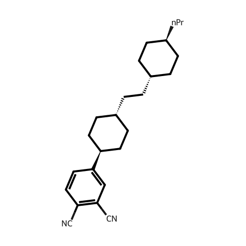 CCC[C@H]1CC[C@H](CC[C@H]2CC[C@H](c3ccc(C#N)c(C#N)c3)CC2)CC1